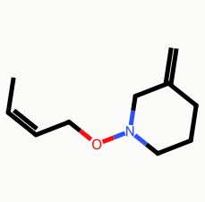 C=C1CCCN(OC/C=C\C)C1